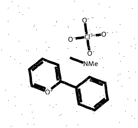 CNC.[O-][Cl+3]([O-])([O-])[O-].c1ccc(-c2cccc[o+]2)cc1